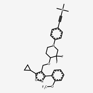 C[Si](C)(C)C#Cc1ccc(N2CCC(OCc3c(-c4ccccc4OC(F)(F)F)noc3C3CC3)C(F)(F)C2)cc1